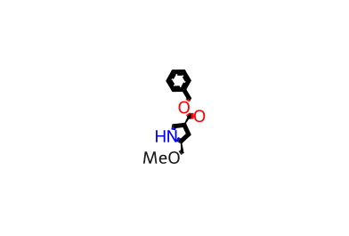 COC[C@@H]1C[C@H](C(=O)OCc2ccccc2)CN1